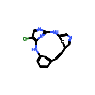 Clc1cnc2nc1Nc1cccc(c1)/C=C\C1C=NC=C(C1)N2